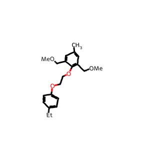 CCc1ccc(OCCOc2c(COC)cc(C)cc2COC)cc1